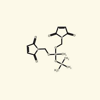 C[Si](C)(C)O[Si](C)(OCN1C(=O)C=CC1=O)OCN1C(=O)C=CC1=O